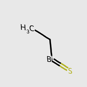 C[CH2][Bi]=[S]